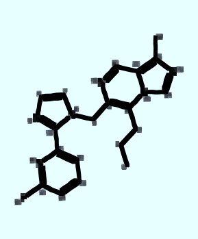 CCCc1c(Cn2ccnc2-c2cccc(F)n2)ncc2c(C)ncn12